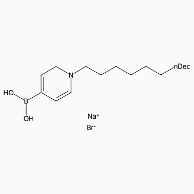 CCCCCCCCCCCCCCCCN1C=CC(B(O)O)=CC1.[Br-].[Na+]